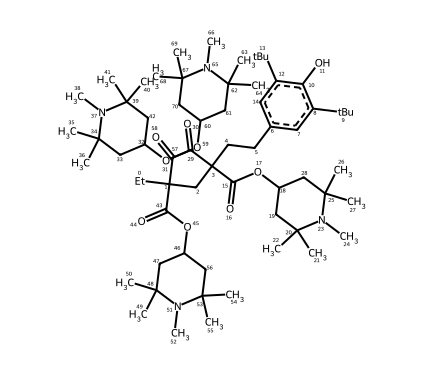 CCC(CC(CCc1cc(C(C)(C)C)c(O)c(C(C)(C)C)c1)(C(=O)OC1CC(C)(C)N(C)C(C)(C)C1)C(=O)OC1CC(C)(C)N(C)C(C)(C)C1)(C(=O)OC1CC(C)(C)N(C)C(C)(C)C1)C(=O)OC1CC(C)(C)N(C)C(C)(C)C1